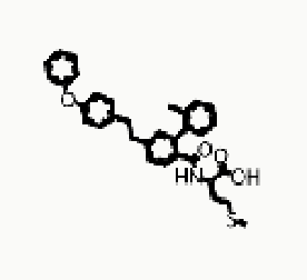 CSCCC(NC(=O)c1ccc(CCc2ccc(Oc3ccccc3)cc2)cc1-c1ccccc1C)C(=O)O